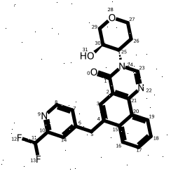 O=c1c2cc(Cc3ccnc(C(F)F)c3)c3ccccc3c2ncn1[C@H]1CCOC[C@@H]1O